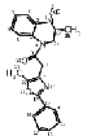 CC(=O)N1c2ccccc2N(C(=O)Cc2nc(-c3ccccc3)oc2C)C[C@@H]1C